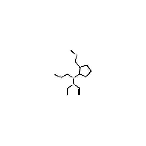 C=CN(CC)N(CCC)[C@@H]1CCCN1COC